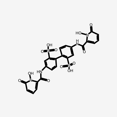 O=C(Nc1ccc(-c2ccc(NC(=O)c3cccc(=O)n3O)cc2S(=O)(=O)O)c(S(=O)(=O)O)c1)c1cccc(=O)n1O